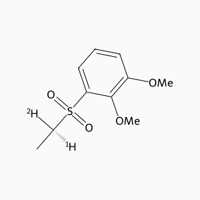 [1H][C@@]([2H])(C)S(=O)(=O)c1cccc(OC)c1OC